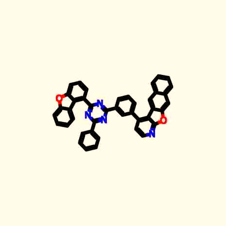 c1ccc(-c2nc(-c3cccc(-c4ccnc5oc6cc7ccccc7cc6c45)c3)nc(-c3cccc4oc5ccccc5c34)n2)cc1